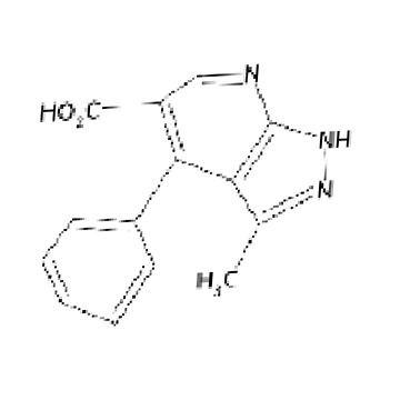 Cc1n[nH]c2ncc(C(=O)O)c(-c3ccccc3)c12